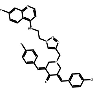 O=C1/C(=C/c2ccc(Cl)cc2)CN(Cc2cn(CCNc3ccnc4cc(Cl)ccc34)nn2)C/C1=C\c1ccc(Cl)cc1